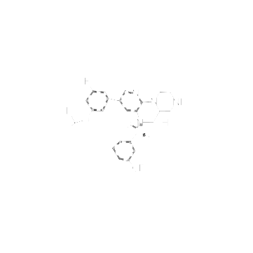 O=S(=O)(c1cccc(C(F)(F)F)c1)N1C[C@@H]2CNCCN2c2ncc(-c3cc(F)cc(OC(F)F)c3)cc21